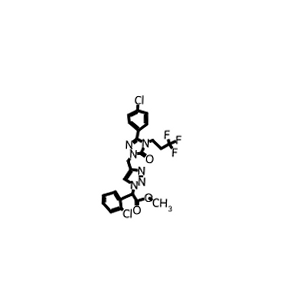 COC(=O)C(c1ccccc1Cl)n1cc(Cn2nc(-c3ccc(Cl)cc3)n(CCC(F)(F)F)c2=O)nn1